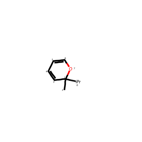 CC(C)C1(C)C=CC=CO1